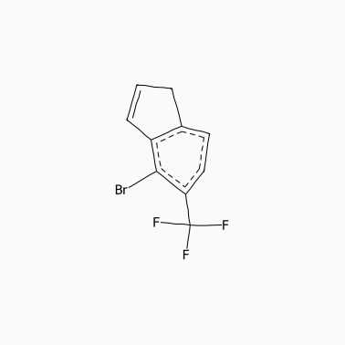 FC(F)(F)c1ccc2c(c1Br)C=CC2